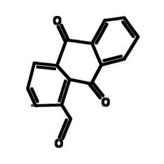 O=Cc1[c]ccc2c1C(=O)c1ccccc1C2=O